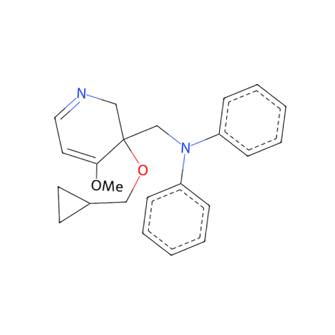 COC1=CC=NCC1(CN(c1ccccc1)c1ccccc1)OCC1CC1